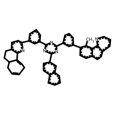 Cc1c(-c2cccc(-c3nc(-c4cccc(-c5ccc6c(n5)C5=CCC=CCC5CC6)c4)nc(-c4ccc5ccccc5c4)n3)c2)ccc2ccc3cccnc3c12